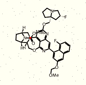 COCOc1cc(-c2cc3nc(OC[C@]45CCCN4C[C@H](F)C5)nc4c3c(n2)OC[C@@H]2[C@@H]3CC[C@H](CN42)N3C(=O)OC(C)(C)C)c2c(F)cccc2c1